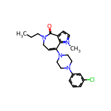 CCCN1CC=C(N2CCN(c3cccc(Cl)c3)CC2)c2c(ccn2C)C1=O